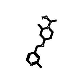 CB(O)N1CCC(OCc2ccnc(C)c2)CC1C